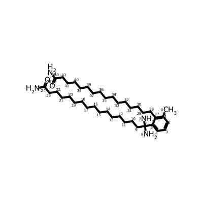 Cc1cccc(C(N)(N)CCCCCCCCCCCCCCCC(N)=O)c1CCCCCCCCCCCCCCCC(N)=O